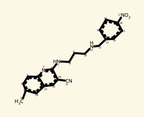 Cc1ccc2nc(NCCCNCc3ccc([N+](=O)[O-])cc3)c(C#N)cc2c1